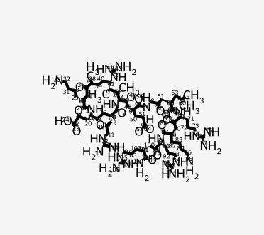 CC[C@H](C)C(NC(=O)[C@H](CCCNC(=N)N)CC(=O)[C@H](CCC(=O)O)NC(=O)[C@H](CCCCN)CC(=O)[C@@H](C)CCCNC(=N)N)C(=O)C[C@@H](CCC(=O)O)C(=O)NCC(=O)C[C@@H](CC(C)C)C(=O)N[C@@H](CCCNC(=N)N)C(=O)C[C@@H](CCCCN)C(=O)N[C@@H](CCCNC(=N)N)C(=O)C[C@@H](CCCNC(=N)N)C(N)=O